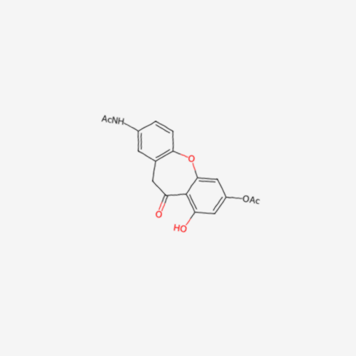 CC(=O)Nc1ccc2c(c1)CC(=O)c1c(O)cc(OC(C)=O)cc1O2